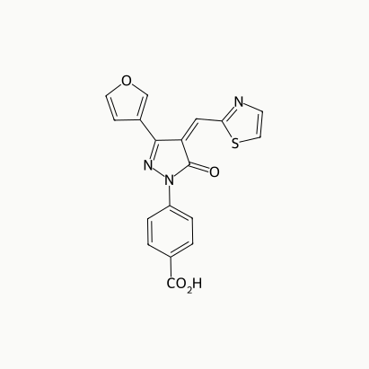 O=C(O)c1ccc(N2N=C(c3ccoc3)/C(=C/c3nccs3)C2=O)cc1